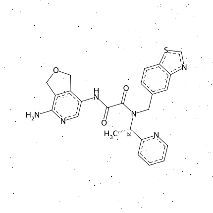 C[C@@H](c1ccccn1)N(Cc1ccc2scnc2c1)C(=O)C(=O)Nc1cnc(N)c2c1COC2